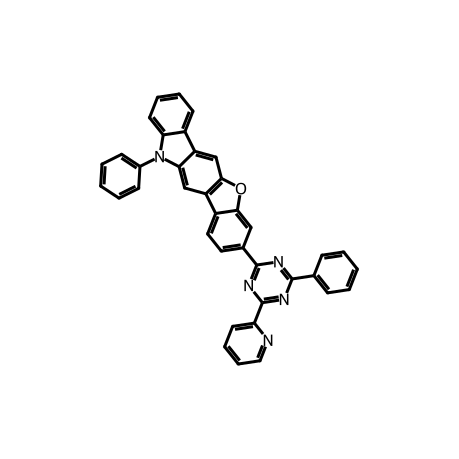 c1ccc(-c2nc(-c3ccc4c(c3)oc3cc5c6ccccc6n(-c6ccccc6)c5cc34)nc(-c3ccccn3)n2)cc1